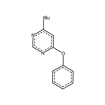 CC(C)(C)c1cc(Oc2ccccc2)ncn1